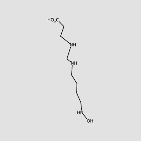 O=C(O)CCNCNCCCCNO